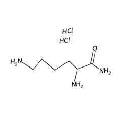 Cl.Cl.NCCCCC(N)C(N)=O